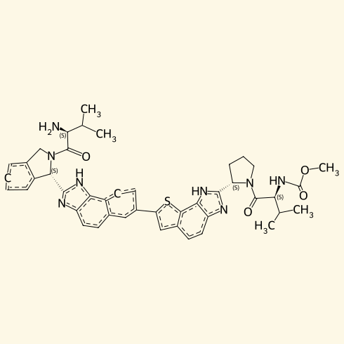 COC(=O)N[C@H](C(=O)N1CCC[C@H]1c1nc2ccc3cc(-c4ccc5c(ccc6nc([C@@H]7c8ccccc8CN7C(=O)[C@@H](N)C(C)C)[nH]c65)c4)sc3c2[nH]1)C(C)C